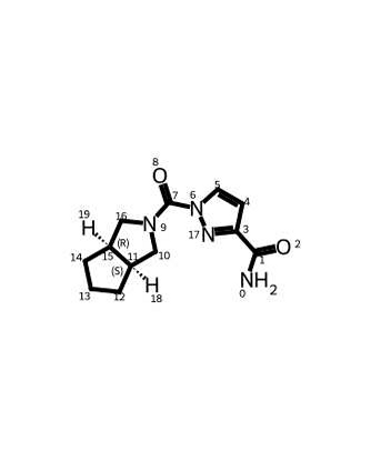 NC(=O)c1ccn(C(=O)N2C[C@H]3CCC[C@H]3C2)n1